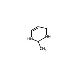 CC1NC=CCN1